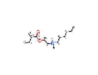 CCCCCC[N+](C)(C)CCOC(=O)C(C)CC